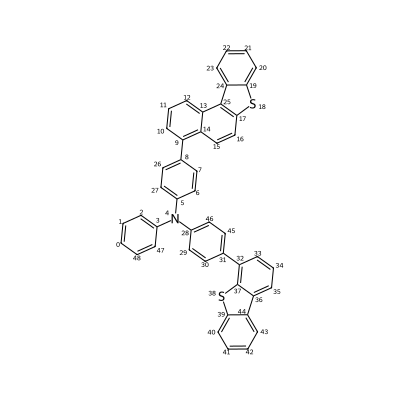 c1ccc(N(c2ccc(-c3cccc4c3ccc3sc5ccccc5c34)cc2)c2ccc(-c3cccc4c3sc3ccccc34)cc2)cc1